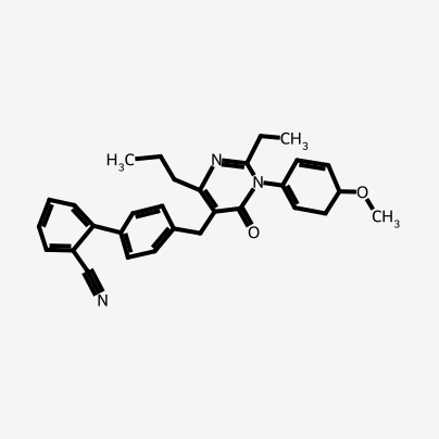 CCCc1nc(CC)n(C2=CCC(OC)C=C2)c(=O)c1Cc1ccc(-c2ccccc2C#N)cc1